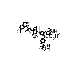 Cc1sc(C(=O)c2cncnc2N[C@H]2CC(COS(N)(=O)=O)[C@@H]([C@@H](C(=O)O)c3ccc(OP(=O)(O)O)cc3)C2)cc1[C@@H]1OCCc2ccc(Cl)cc21